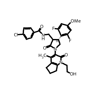 COc1cc(F)c([C@@H]2CN(c3c(C)c4c(n(CCO)c3=O)CCC4)C(=O)C2CNC(=O)c2ccc(Cl)cc2)c(F)c1